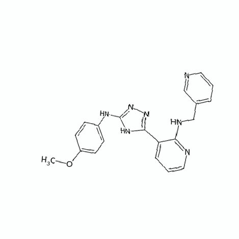 COc1ccc(Nc2nnc(-c3cccnc3NCc3cccnc3)[nH]2)cc1